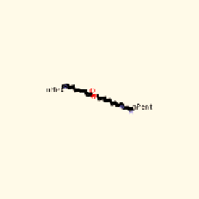 CCCCC/C=C\C/C=C/CCCCCCCCOC(=O)CCCCCCC/C=C\CCCCCC